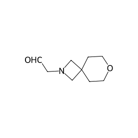 O=CCN1CC2(CCOCC2)C1